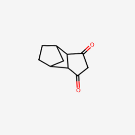 O=C1CC(=O)C2C3CCC(C3)C12